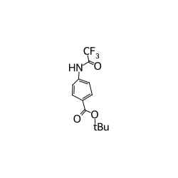 CC(C)(C)OC(=O)c1ccc(NC(=O)C(F)(F)F)cc1